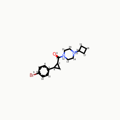 O=C(C1CC1c1ccc(Br)cc1)N1CCN(C2CCC2)CC1